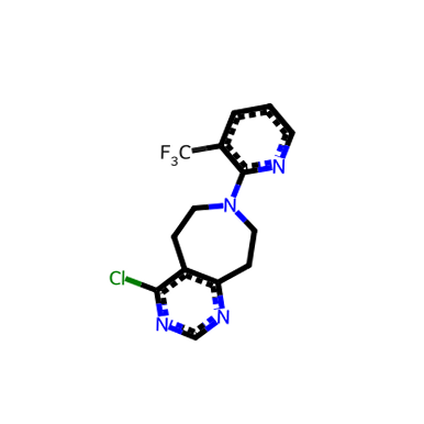 FC(F)(F)c1cccnc1N1CCc2ncnc(Cl)c2CC1